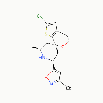 CCc1cc([C@@H]2C[C@]3(C[C@H](C)N2)OCCc2cc(Cl)sc23)on1